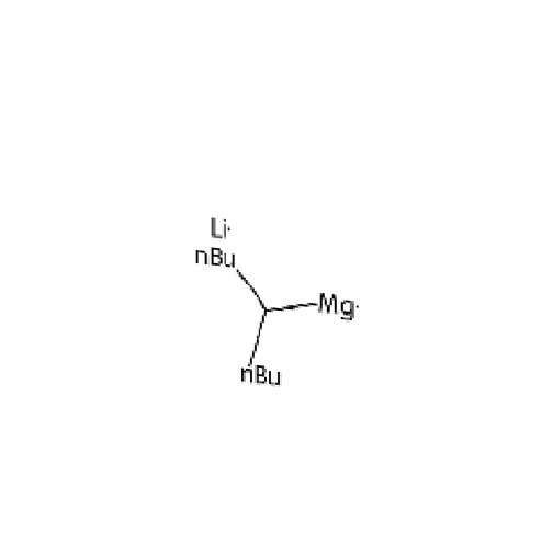 CCCC[CH]([Mg])CCCC.[Li]